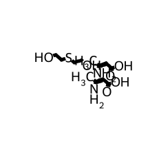 C/C(N)=C/C(=O)O.C/C(N)=C/C(=O)O.OCCSCCO